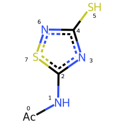 CC(=O)Nc1nc(S)ns1